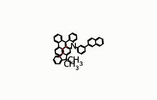 CC1(C)c2ccccc2-c2ccc(N(c3cccc(-c4ccc5ccccc5c4)c3)c3ccccc3-c3cc4ccccc4c4ccccc34)cc21